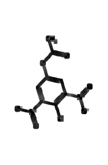 CC(=O)Oc1cc([N+](=O)[O-])c(Cl)c([N+](=O)[O-])c1